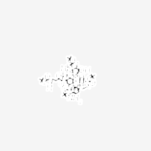 C[C@@H](CN[C@@H]1CC=C(CN)O[C@@H]1O[C@H]1[C@H](O)[C@@H](O[C@H]2OC[C@](C)(O)[C@H](N(C)C(=O)OC(C)(C)C)[C@H]2O)[C@H](NC(=O)[C@@H](O)CCNC(=O)OC(C)(C)C)C[C@@H]1NC(=O)OC(C)(C)C)NC(=O)OC(C)(C)C